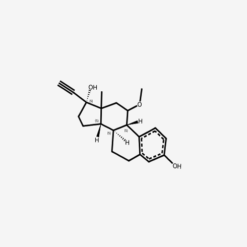 C#C[C@]1(O)CC[C@H]2[C@@H]3CCc4cc(O)ccc4[C@H]3C(OC)CC21C